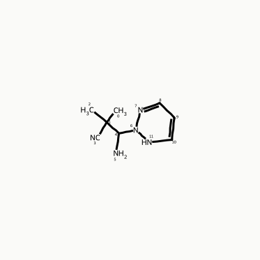 CC(C)(C#N)C(N)N1N=CC=CN1